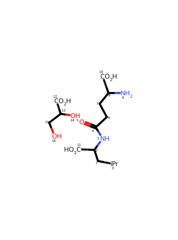 CC(C)CC(NC(=O)CCC(N)C(=O)O)C(=O)O.O=C(O)C(O)CO